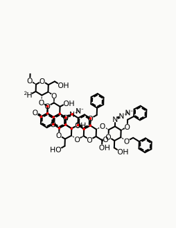 [2H]C1[C@@H](OC)OC(CO)[C@@H](O[C@@H]2OC(C=O)[C@H](O[C@@H]3OC(CO)[C@@H](O[C@@H]4OC(C(=O)O)[C@@H](O[C@H]5OC(CO)[C@@H](OCc6ccccc6)[C@H](OCc6ccccc6)C5N=[N+]=[N-])[C@H](OCc5ccccc5)C4OCc4ccccc4)[C@H](O)C3N=[N+]=[N-])[C@@H](OCc3ccccc3)C2O)[C@@H]1OCc1ccccc1